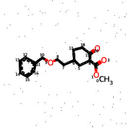 COC(=O)C1CC(CCOCc2ccccc2)CCC1=O